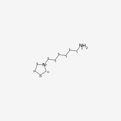 NCCCCCCN1CCCC1